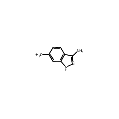 [CH2]c1ccc2c(N)n[nH]c2c1